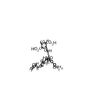 Cc1cc(-c2ccc(NC(=O)C(CCCCNC(=O)CN3CCN(CC(=O)O)CCN(CC(=O)O)CCN(CC(=O)O)CC3)NC(=O)CCC(=O)NCc3cc(C(=O)NCC(=O)N4CC(F)(F)C[C@H]4C#N)ccn3)c(C)c2)ccc1N